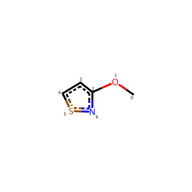 COc1c[c]sn1